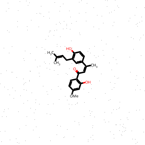 COc1ccc(C(=O)C=C(C)c2ccc(O)c(CC=C(C)C)c2)c(O)c1